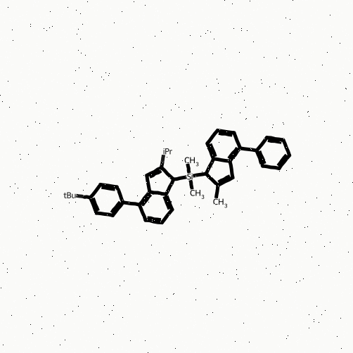 CC1=Cc2c(-c3ccccc3)cccc2C1[Si](C)(C)C1C(C(C)C)=Cc2c(-c3ccc(C(C)(C)C)cc3)cccc21